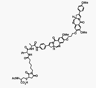 COc1ccc(C2=CN3C(=O)c4cc(OC)c(OCCCOc5cc6c(cc5OC)C(=O)N5C=C(c7ccc(NC(=O)[C@H](C)NC(=O)[C@@H](NC(=O)CCCCCN8C(=O)CC(SCC(NC(C)=O)C(=O)O)C8=O)C(C)C)cc7)C[C@H]5C=N6)cc4N=C[C@@H]3C2)cc1